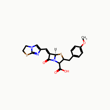 COc1ccc(CC2S[C@@H]3C(=Cc4cn5c(n4)SCC5)C(=O)N3C2C(=O)O)cc1